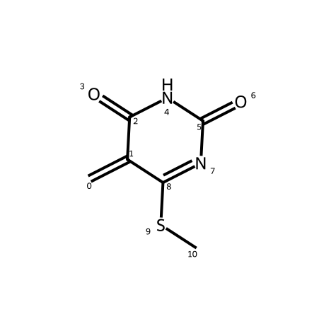 C=C1C(=O)NC(=O)N=C1SC